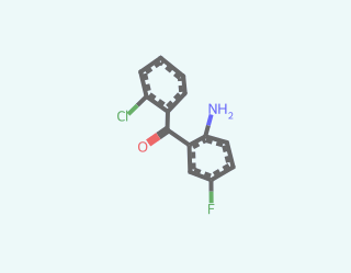 Nc1ccc(F)cc1C(=O)c1ccccc1Cl